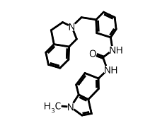 Cn1ccc2cc(NC(=O)Nc3cccc(CN4CCc5ccccc5C4)c3)ccc21